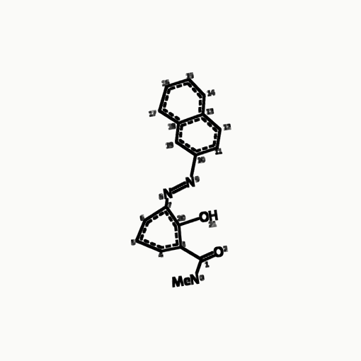 CNC(=O)c1cccc(N=Nc2ccc3ccccc3c2)c1O